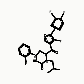 CC(C)C[C@H]1C(=O)N[C@@H](c2ccccc2F)CN1C(=O)c1noc(-c2ccc(F)c(F)c2)c1F